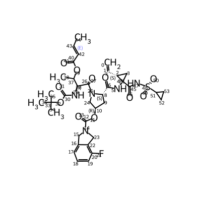 C=C[C@@H]1C[C@]1(NC(=O)[C@@H]1C[C@@H](OC(=O)N2Cc3cccc(F)c3C2)CN1C(=O)[C@@H](NC(=O)OC(C)(C)C)C(C)OC(=O)/C=C/C)C(=O)NS(=O)(=O)C1CC1